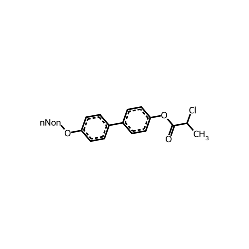 CCCCCCCCCOc1ccc(-c2ccc(OC(=O)C(C)Cl)cc2)cc1